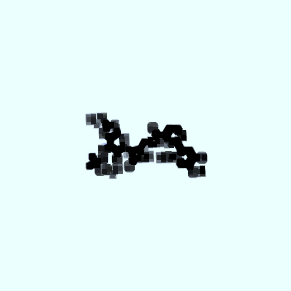 CC(C)(O/N=C(\C(=O)N[C@@H]1C(=O)N[C@@H]1CNC(=O)c1ccnc(-c2cc(=O)c(O)cn2O)n1)C1CSC(N)=N1)C(=O)O